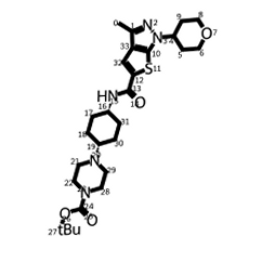 Cc1nn(C2CCOCC2)c2sc(C(=O)N[C@H]3CC[C@@H](N4CCN(C(=O)OC(C)(C)C)CC4)CC3)cc12